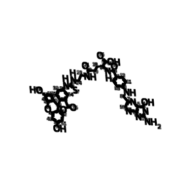 Nc1nc(O)c2nc(CNc3ccc(C(=O)N[C@@H](CCC(=O)NCCNC(=S)Nc4ccc5c(c4)C(=O)OC54c5ccc(O)cc5Oc5cc(O)ccc54)C(=O)O)cc3)cnc2n1